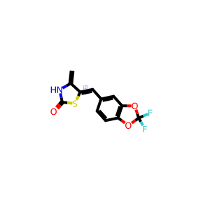 C=c1[nH]c(=O)s/c1=C\c1ccc2c(c1)OC(F)(F)O2